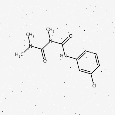 CN(C)C(=O)N(C)C(=O)Nc1cccc(Cl)c1